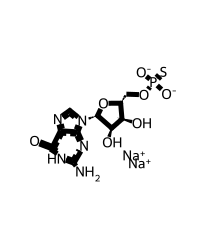 Nc1nc2c(ncn2[C@@H]2O[C@H](COP([O-])([O-])=S)[C@@H](O)[C@H]2O)c(=O)[nH]1.[Na+].[Na+]